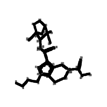 CCCCn1nc(C(=O)NC2C3(C)CCC(C3)C2(C)C)c2c1CCN(C(=O)OC)C2